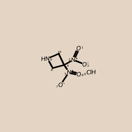 Cl.O=[N+]([O-])C1([N+](=O)[O-])CNC1